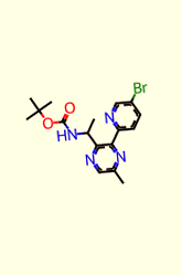 Cc1cnc(C(C)NC(=O)OC(C)(C)C)c(-c2ccc(Br)cn2)n1